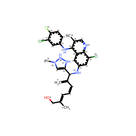 C=C(/C=C\C=C(/C)CO)[C@H](Nc1cc(Cl)c2ncc(C#N)c(Nc3ccc(F)c(Cl)c3)c2c1)C1=CN(C(C)C)NN1